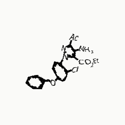 CCOC(=O)c1c(N)c(C(C)=O)nn1-c1ccc(Oc2ccccc2)cc1Cl